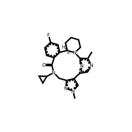 Cc1ncc2nc1N1CCCC[C@@H]1c1cc(F)ccc1C(=O)N(C1CC1)Cc1nn(C)cc1-2